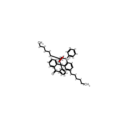 CCCCCCc1ccc2c(c1)C1(c3ccccc3C(=O)c3ccccc31)c1cc(CCCCCC)ccc1N2c1ccccc1